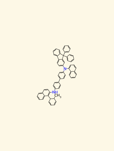 CC1C=CC=CC1c1c(Nc2ccc(-c3ccc(N(c4ccc5c(c4)C(c4ccccc4)(c4ccccc4)c4ccccc4-5)c4cccc5ccccc45)cc3)cc2)ccc2ccccc12